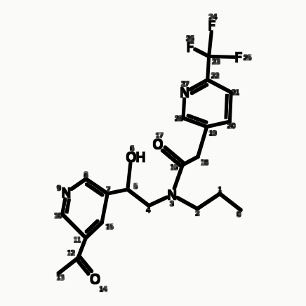 CCCN(CC(O)c1cncc(C(C)=O)c1)C(=O)Cc1ccc(C(F)(F)F)nc1